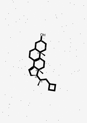 C[C@H](CC1CCC1)[C@H]1CC=C2C3=C(CC[C@@]21C)[C@@]1(C)CCC(O)CC1CC3